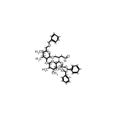 CC1[C@@H](OC2[C@@H](OCCCNCl)OC(COCc3ccccc3)[C@@H](C)[C@@H]2C)OC(COP(=O)(OCc2ccccc2)OCc2ccccc2)[C@@H](C)[C@@H]1C